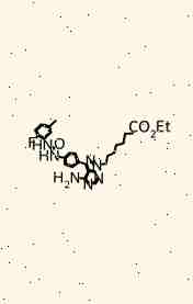 CCOC(=O)CCCCCCCn1nc(-c2ccc(NC(=O)Nc3cc(C)ccc3F)cc2)c2c(N)ncnc21